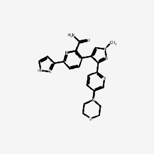 Cn1cc(-c2ccc(-c3cc[nH]n3)nc2C(N)=O)c(-c2ccc(N3CCOCC3)cn2)n1